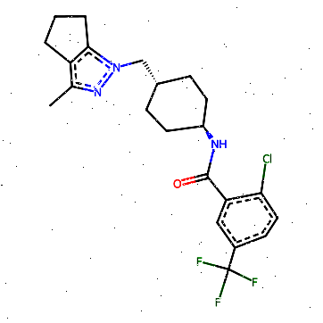 Cc1nn(C[C@H]2CC[C@H](NC(=O)c3cc(C(F)(F)F)ccc3Cl)CC2)c2c1CCC2